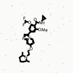 COc1cc(-c2cnc3cc(OCCN4C(C)CCCC4C)ccn23)cc(OC(F)F)c1C(=O)NC1CC1